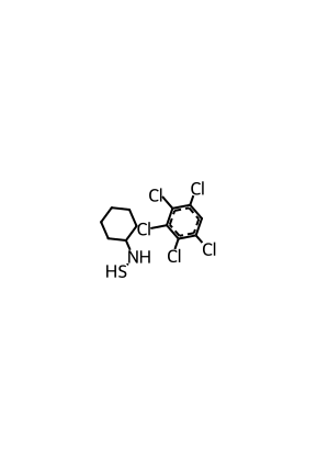 Clc1cc(Cl)c(Cl)c(Cl)c1Cl.SNC1CCCCC1